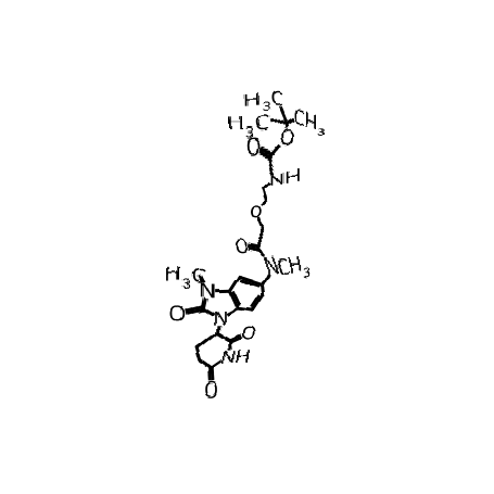 CN(C(=O)COCCNC(=O)OC(C)(C)C)c1ccc2c(c1)n(C)c(=O)n2C1CCC(=O)NC1=O